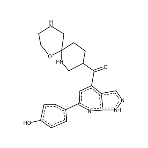 O=C(c1cc(-c2ccc(O)cc2)nc2[nH]ncc12)C1CCC2(CNCCO2)NC1